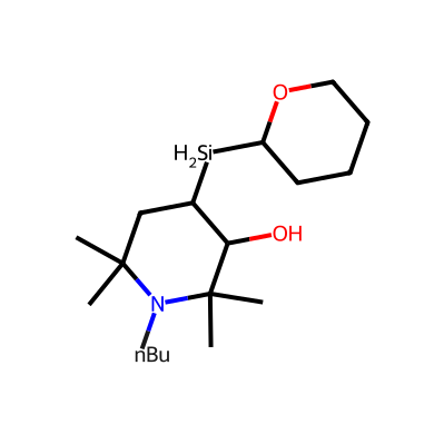 CCCCN1C(C)(C)CC([SiH2]C2CCCCO2)C(O)C1(C)C